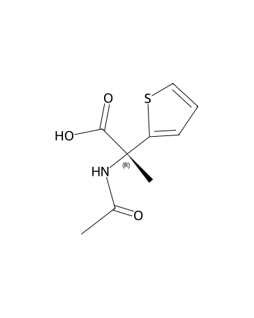 CC(=O)N[C@](C)(C(=O)O)c1cccs1